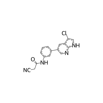 N#CCC(=O)Nc1cccc(-c2cnc3[nH]cc(Cl)c3c2)c1